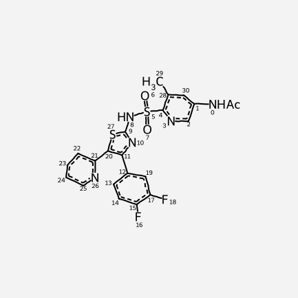 CC(=O)Nc1cnc(S(=O)(=O)Nc2nc(-c3ccc(F)c(F)c3)c(-c3ccccn3)s2)c(C)c1